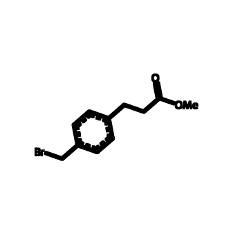 COC(=O)CCc1ccc(CBr)cc1